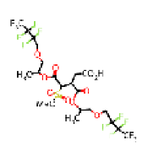 COS(=O)(=O)C(C(=O)OC(C)COCC(F)(F)C(F)(F)C(F)(F)F)C(CC(=O)O)C(=O)OC(C)COCC(F)(F)C(F)(F)C(F)(F)F